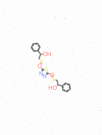 OC(CSOc1nnc(OSCC(O)c2ccccc2)s1)c1ccccc1